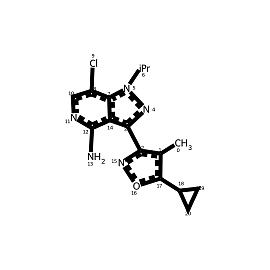 Cc1c(-c2nn(C(C)C)c3c(Cl)cnc(N)c23)noc1C1CC1